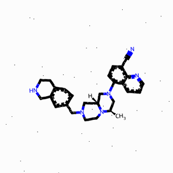 C[C@@H]1CN(c2ccc(C#N)c3ncccc23)C[C@H]2CN(Cc3ccc4c(c3)CNCC4)CCN21